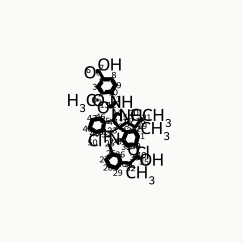 COc1cc(C(=O)O)ccc1NC(=O)[C@@H]1NC(CC(C)(C)C)[C@@]2(CN(Cc3cccc(C(C)C(=O)O)c3)c3cc(Cl)ccc32)[C@H]1c1cccc(Cl)c1F